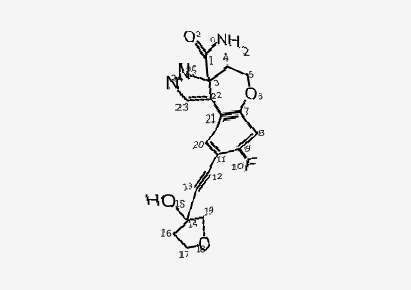 NC(=O)C12CCOc3cc(F)c(C#CC4(O)CCOC4)cc3C1=CN=N2